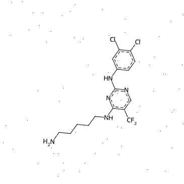 NCCCCCNc1nc(Nc2ccc(Cl)c(Cl)c2)ncc1C(F)(F)F